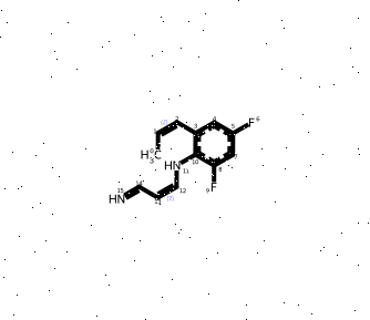 C/C=C\c1cc(F)cc(F)c1N/C=C\C=N